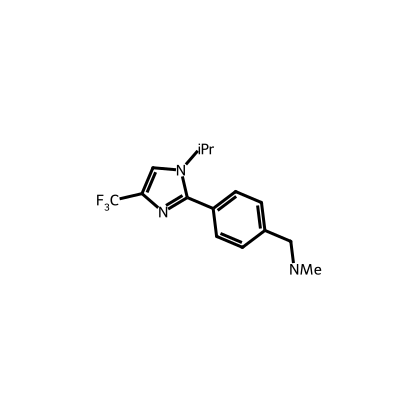 CNCc1ccc(-c2nc(C(F)(F)F)cn2C(C)C)cc1